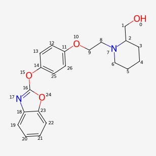 OCC1CCCCN1CCOc1ccc(Oc2nc3ccccc3o2)cc1